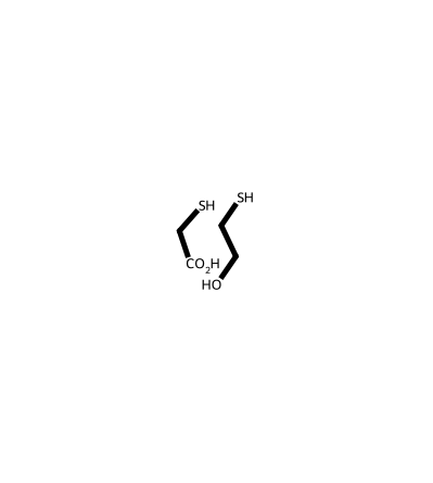 O=C(O)CS.OCCS